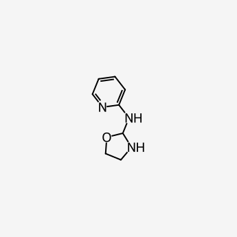 c1ccc(NC2NCCO2)nc1